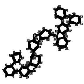 c1cncc(-c2ccccc2-c2ccc3sc4ccc(-c5ccc6oc7ccc(-n8c9ccccc9c9cc(-c%10ccccc%10-c%10cccnc%10)ccc98)cc7c6c5)cc4c3c2)c1